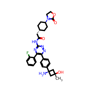 C[C@]1(O)C[C@@](N)(c2ccc(-c3nnc(NC(=O)C[C@H]4CC[C@H](N5CCOC5=O)CC4)nc3-c3ccccc3F)cc2)C1